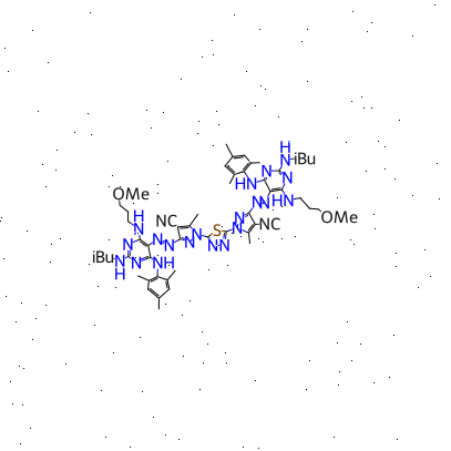 [C-]#[N+]c1c(N=Nc2c(NCCCOC)nc(NC(C)CC)nc2Nc2c(C)cc(C)cc2C)nn(-c2nnc(-n3nc(N=Nc4c(NCCCOC)nc(NC(C)CC)nc4Nc4c(C)cc(C)cc4C)c(C#N)c3C)s2)c1C